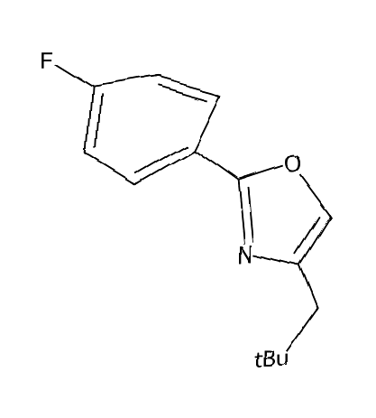 CC(C)(C)Cc1coc(-c2ccc(F)cc2)n1